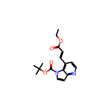 CCOC(=O)C=Cc1ccnc2ccn(C(=O)OC(C)(C)C)c12